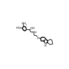 Nc1cc(C(O)CNCCOc2ccc3c4c([nH]c3c2)CCCC4)ccc1O